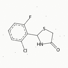 O=C1CSC(c2c(F)cccc2Cl)N1